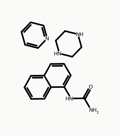 C1CNCCN1.NC(=O)Nc1cccc2ccccc12.c1ccncc1